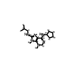 CC(C)CNc1nc2c(n1C)N(C)CN=C2NC1CCCC1